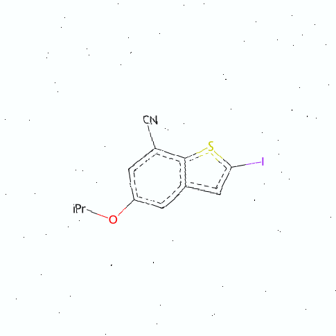 CC(C)Oc1cc(C#N)c2sc(I)cc2c1